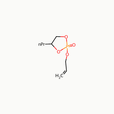 C=CCOP1(=O)OCC(CCC)O1